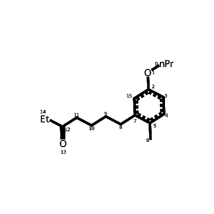 CCCOc1ccc(C)c(CCCCC(=O)CC)c1